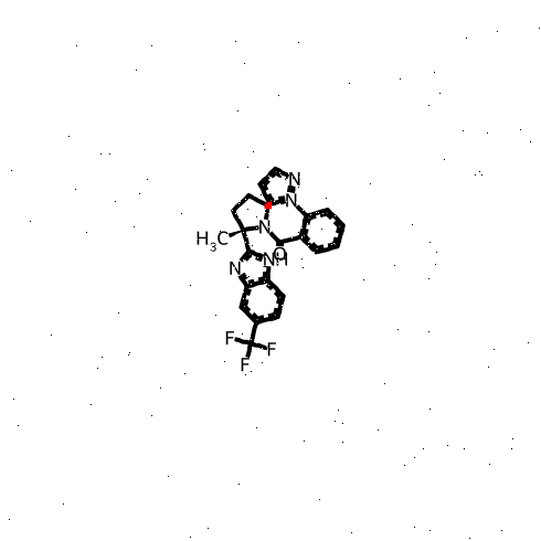 C[C@@]1(c2nc3cc(C(F)(F)F)ccc3[nH]2)CCCN1C(=O)c1ccccc1-n1cccn1